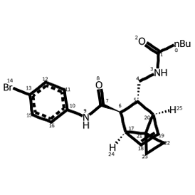 CCCCC(=O)NC[C@H]1[C@H](C(=O)Nc2ccc(Br)cc2)[C@@H]2C=C[C@H]1C21CC1